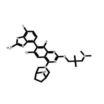 CN(C)CC(C)(C)COc1nc(N2CC3CCC(C2)N3)c2cc(Cl)c(-c3ccc(F)c4sc(N)nc34)c(F)c2n1